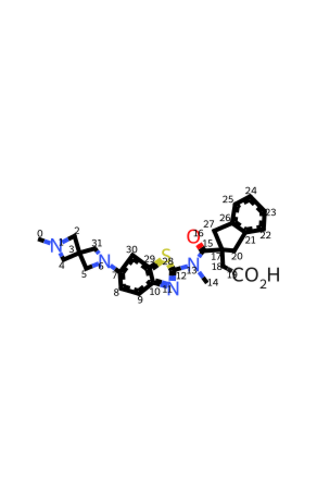 CN1CC2(C1)CN(c1ccc3nc(N(C)C(=O)C4(CC(=O)O)Cc5ccccc5C4)sc3c1)C2